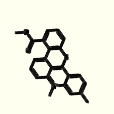 COC(=O)c1cccc2c1-c1cccc3c1c(c1ccc(C)cc1[n+]3C)S2